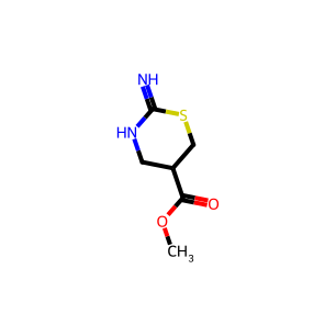 COC(=O)C1CNC(=N)SC1